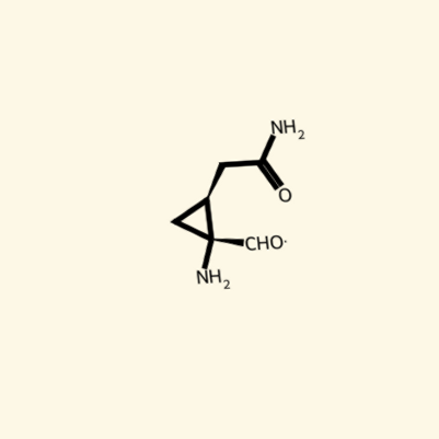 NC(=O)C[C@@H]1C[C@]1(N)[C]=O